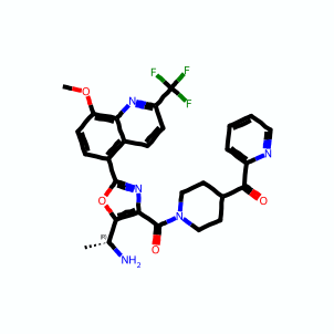 COc1ccc(-c2nc(C(=O)N3CCC(C(=O)c4ccccn4)CC3)c([C@@H](C)N)o2)c2ccc(C(F)(F)F)nc12